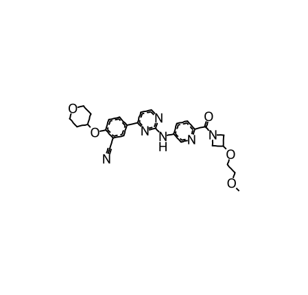 COCCOC1CN(C(=O)c2ccc(Nc3nccc(-c4ccc(OC5CCOCC5)c(C#N)c4)n3)cn2)C1